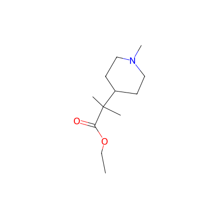 CCOC(=O)C(C)(C)C1CCN(C)CC1